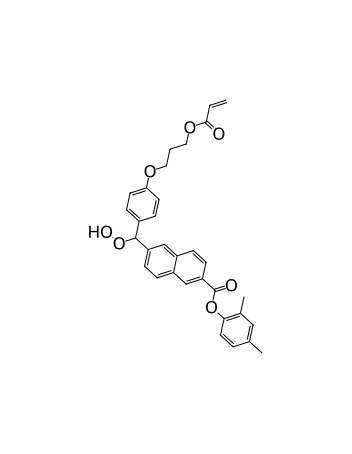 C=CC(=O)OCCCOc1ccc(C(OO)c2ccc3cc(C(=O)Oc4ccc(C)cc4C)ccc3c2)cc1